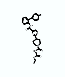 CCOC(=O)NC(=S)N1CCC(c2nc(C(=O)Nc3ccccc3-c3ccc(I)cc3)cs2)CC1